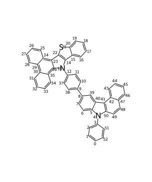 c1ccc(-n2c3ccc(-c4ccc(-n5c6c7ccccc7sc6c6c7ccccc7c7ccccc7c65)cc4)cc3c3c4ccccc4ccc32)cc1